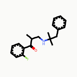 CC(CNC(C)(C)Cc1ccccc1)C(=O)c1ccccc1F